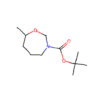 CC1CCCN(C(=O)OC(C)(C)C)CO1